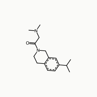 CC(C)c1ccc2c(c1)CN(C(=O)CN(C)C)CC2